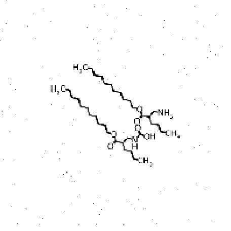 CCCCCCCCCCCOC(=O)C(CCCC)CNC(=O)O.CCCCCCCCCCCOC(=O)C(CN)CCCC